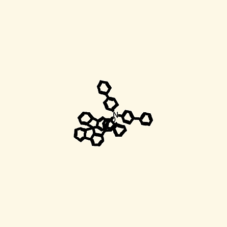 c1ccc(-c2ccc(N(c3ccc(-c4ccccc4)cc3)c3ccc(-c4cccc5c4C4(c6ccccc6-c6cc7oc8ccccc8c7cc64)c4ccccc4-5)cc3)cc2)cc1